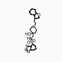 O=S(=O)(NCC1(O)CCN(CCc2coc3ccccc23)CC1)c1cccc2nonc12